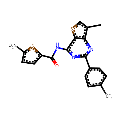 Cc1csc2c(NC(=O)c3ccc([N+](=O)[O-])s3)nc(-c3ccc(C(F)(F)F)cc3)nc12